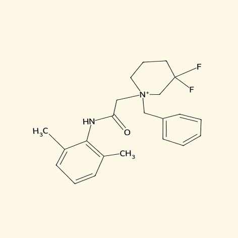 Cc1cccc(C)c1NC(=O)C[N+]1(Cc2ccccc2)CCCC(F)(F)C1